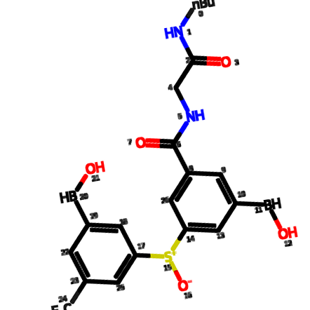 CCCCNC(=O)CNC(=O)c1cc(BO)cc([S+]([O-])c2cc(BO)cc(C(F)(F)F)c2)c1